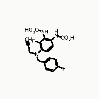 C#CCN(Cc1ccc(F)cc1)c1ccc(NC(=O)O)c(NC(=O)O)c1F